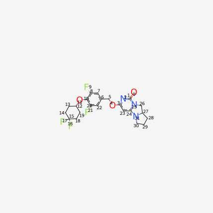 O=c1nc(OCc2cc(F)c(OC3CCC(F)(F)CC3)c(F)c2)cc2n1CC1CCCN21